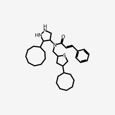 O=C(/C=C/c1ccccc1)N(CC1CC(C2CCCCCCC2)CS1)C1CNNC1C1CCCCCCCC1